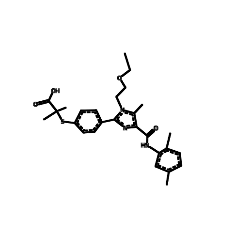 CCOCCn1c(-c2ccc(SC(C)(C)C(=O)O)cc2)nc(C(=O)Nc2cc(C)ccc2C)c1C